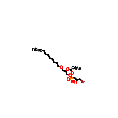 CCCCCCCCCCCCCCCCCCOCC(COP(=O)(O)CCCBr)OC(=O)OC